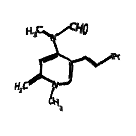 C=C1C=C(N(C)C=O)C(CCC(C)C)=CN1C